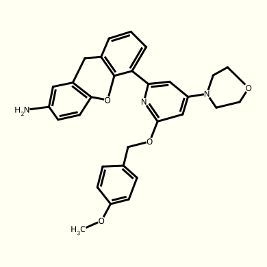 COc1ccc(COc2cc(N3CCOCC3)cc(-c3cccc4c3Oc3ccc(N)cc3C4)n2)cc1